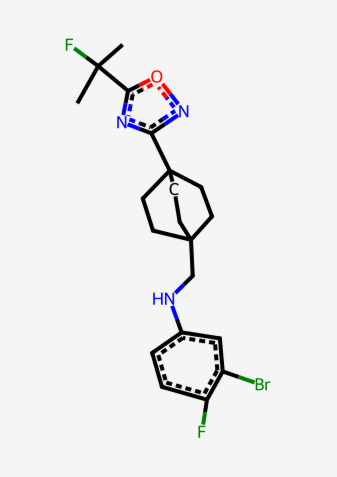 CC(C)(F)c1nc(C23CCC(CNc4ccc(F)c(Br)c4)(CC2)CC3)no1